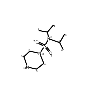 CC(C)N(C(C)C)S(=O)(=O)N1CC[N]CC1